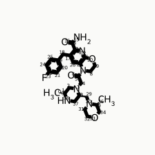 C[C@@H]1CN(CC(=O)N2CCOc3nc(C(N)=O)c(Cc4ccc(F)cc4)cc32)[C@@H](CN2CCOC[C@H]2C)CN1